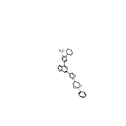 C[C@@H]1CCCC[C@H]1n1cc(-c2nc(-c3cnn([C@H]4CO[C@@H](c5ccccc5)OC4)c3)cn3nccc23)cn1